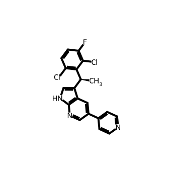 C[C@H](c1c(Cl)ccc(F)c1Cl)c1c[nH]c2ncc(-c3ccncc3)cc12